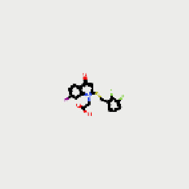 O=C(O)Cn1c(SCc2cccc(F)c2F)cc(=O)c2ccc(I)cc21